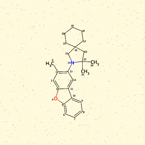 Cc1cc2oc3ccccc3c2cc1N1CC2(CCCCC2)CC1(C)C